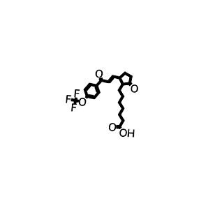 O=C(O)CCCCCCC1C(=O)CCC1/C=C/C(=O)c1ccc(OC(F)(F)F)cc1